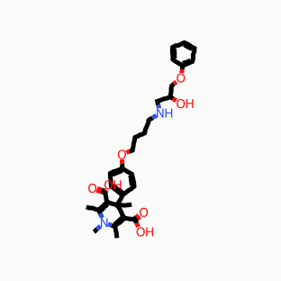 CC1=C(C(=O)O)C(C)(c2ccc(OCCCCNCC(O)COc3ccccc3)cc2)C(C(=O)O)=C(C)N1C